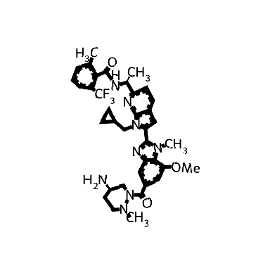 COc1cc(C(=O)N2C[C@H](N)CCN2C)cc2nc(-c3cc4ccc([C@@H](C)NC(=O)c5c(C)cccc5C(F)(F)F)nc4n3CC3CC3)n(C)c12